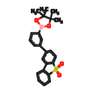 CC1(C)OB(c2cccc(-c3ccc4c(c3)-c3ccccc3S4(=O)=O)c2)OC1(C)C